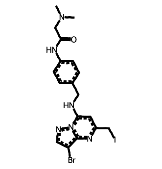 CN(C)CC(=O)Nc1ccc(CNc2cc(CI)nc3c(Br)cnn23)cc1